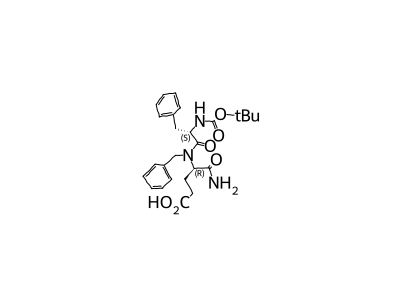 CC(C)(C)OC(=O)N[C@@H](Cc1ccccc1)C(=O)N(Cc1ccccc1)[C@H](CCC(=O)O)C(N)=O